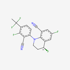 CC(F)(F)c1ccc(N2CC[C@H](F)c3cc(F)cc(C#N)c32)c(C#N)c1F